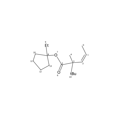 C/C=C\C(C)(C(=O)OC1(CC)CCCC1)C(C)(C)C